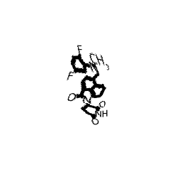 CN(Cc1ccc2c3c(cccc13)N(C1CCC(=O)NC1=O)C2=O)c1cc(F)ccc1F